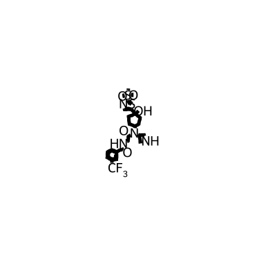 CS(=O)(=O)c1ncc(C2(O)CCC(N(C(=O)CNC(=O)c3cccc(C(F)(F)F)c3)C3CNC3)CC2)s1